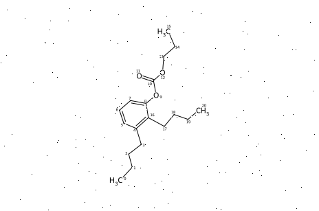 CCCCc1cccc(OC(=O)OCCC)c1CCCC